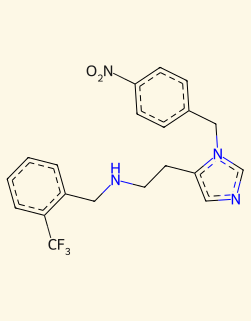 O=[N+]([O-])c1ccc(Cn2cncc2CCNCc2ccccc2C(F)(F)F)cc1